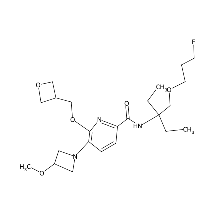 CCC(CC)(COCCCF)NC(=O)c1ccc(N2CC(OC)C2)c(OCC2COC2)n1